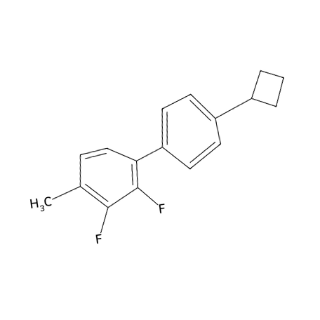 Cc1ccc(-c2ccc(C3CCC3)cc2)c(F)c1F